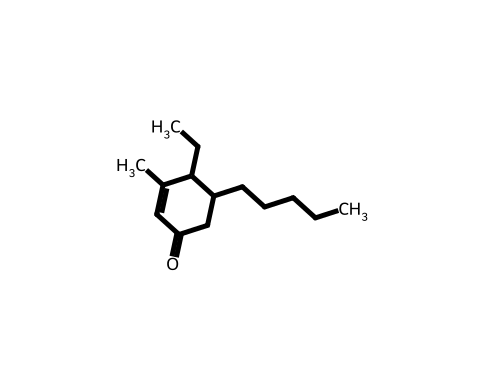 CCCCCC1CC(=O)C=C(C)C1CC